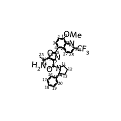 COc1ccc(-c2nc(C(=O)N3CCC[C@H]3c3ccccc3)c([C@H](C)N)o2)c2ccc(C(F)(F)F)nc12